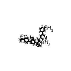 Cc1cccc(-c2cncc(Nc3c(C)noc3-c3ccc(-c4ccc(C5(C(=O)O)CC5)cc4)cc3)c2)c1